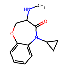 CNC1COc2ccccc2N(C2CC2)C1=O